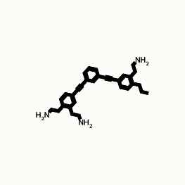 CCCc1ccc(C#Cc2cccc(C#Cc3ccc(CCN)c(CCN)c3)c2)cc1CCN